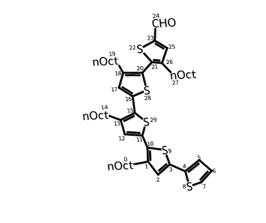 CCCCCCCCc1cc(-c2cccs2)sc1-c1cc(CCCCCCCC)c(-c2cc(CCCCCCCC)c(-c3sc(C=O)cc3CCCCCCCC)s2)s1